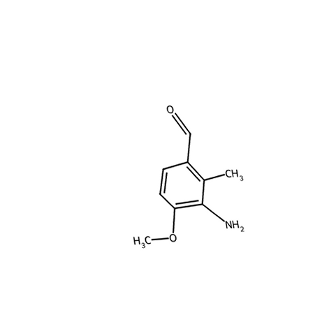 COc1ccc(C=O)c(C)c1N